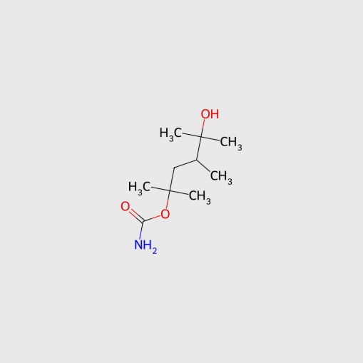 CC(CC(C)(C)OC(N)=O)C(C)(C)O